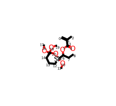 C=C(C)C(=O)OC(CC)[Si]1(OC)CCCC(OC)(OC)O1